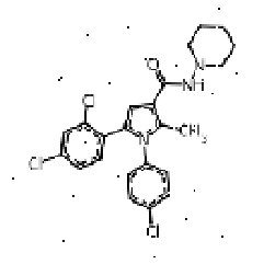 Cc1c(C(=O)NN2CCCCC2)cc(-c2ccc(Cl)cc2Cl)n1-c1ccc(Cl)cc1